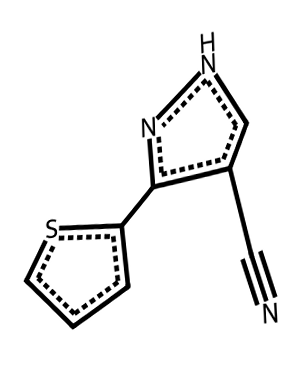 N#Cc1c[nH]nc1-c1cccs1